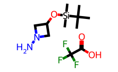 CC(C)(C)[Si](C)(C)OC1CN(N)C1.O=C(O)C(F)(F)F